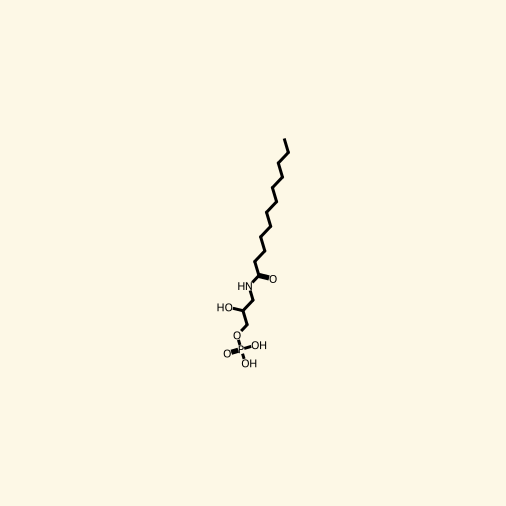 CCCCCCCCCCCC(=O)NCC(O)COP(=O)(O)O